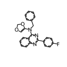 Fc1ccc(-c2nc(N(Cc3ccccc3)C3=COCO3)c3ccccc3n2)cc1